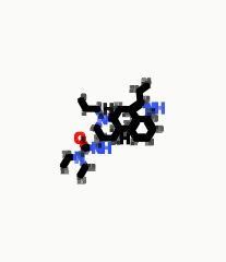 CCCN1C[C@@H](NC(=O)N(CC)CC)C[C@@H]2c3cccc4[nH]c(CC)c(c34)C[C@H]21